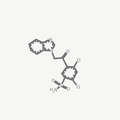 NS(=O)(=O)c1cc(C(=O)Cn2cnc3ccccc32)c(Cl)cc1Cl